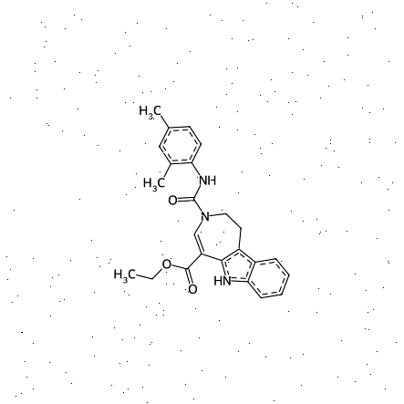 CCOC(=O)C1=CN(C(=O)Nc2ccc(C)cc2C)CCc2c1[nH]c1ccccc21